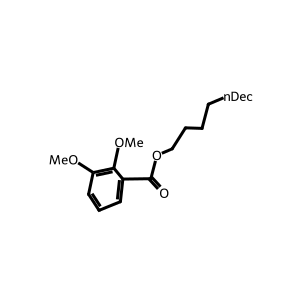 CCCCCCCCCCCCCCOC(=O)c1cccc(OC)c1OC